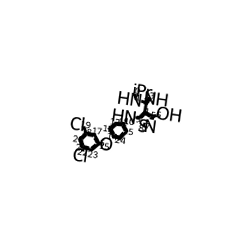 CC(C)NC(=N)c1c(O)nsc1Nc1ccc(Oc2cc(Cl)cc(Cl)c2)cc1